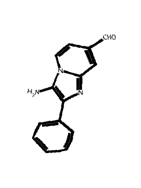 Nc1c(-c2ccccc2)nc2cc(C=O)ccn12